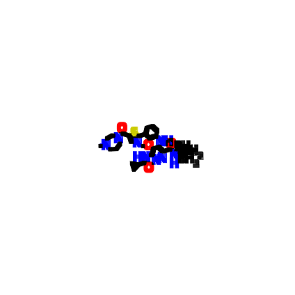 BC(B)(B)NC(=O)c1nnc(NC(=O)C2CC2)cc1Nc1cccc(-c2ncc(C(=O)N3CCCN(C)CC3)s2)c1OC